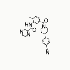 Cc1ccc(C(=O)N2CCC(c3ccc(C#N)cc3)CC2)cc1NC(=O)c1cnccn1